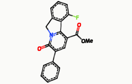 COC(=O)c1cc(-c2ccccc2)c(=O)n2c1-c1c(F)cccc1C2